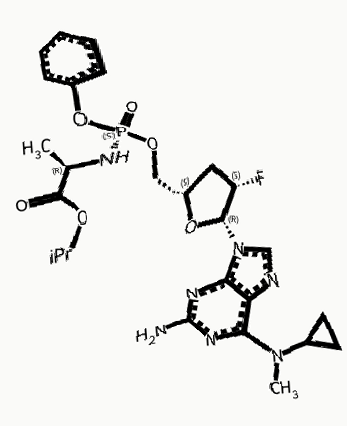 CC(C)OC(=O)[C@@H](C)N[P@](=O)(OC[C@@H]1C[C@H](F)[C@H](n2cnc3c(N(C)C4CC4)nc(N)nc32)O1)Oc1ccccc1